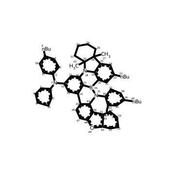 CCCCc1ccc(N(c2ccccc2)c2cc3c4c(c2)N2c5c(cc(CCCC)cc5C5(C)CCCCC25C)B4N(c2ccc(CCCC)cc2C)c2c-3ccc3oc4ccccc4c23)cc1